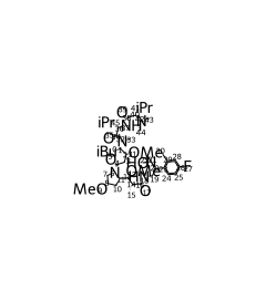 CC[C@H](C)[C@@H]([C@@H](CC(=O)N1C[C@H](OC)C[C@@H]1[C@H](OC)[C@@H](C)C(=O)NCC(=NO)c1ccc(F)cc1C)OC)N(C)C(=O)[C@@H](NC(=O)[C@H](C(C)C)N(C)C)C(C)C